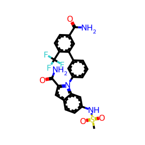 CS(=O)(=O)Nc1ccc2cc(C(N)=O)n(-c3cccc(-c4cc(C(N)=O)ccc4C(F)(F)F)c3)c2c1